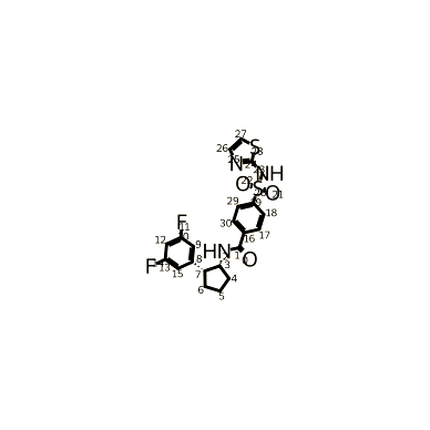 O=C(N[C@@H]1CCC[C@@H]1c1cc(F)cc(F)c1)c1ccc(S(=O)(=O)Nc2nccs2)cc1